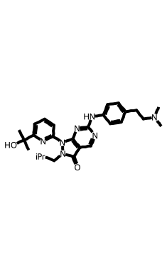 CC(C)Cn1c(=O)c2cnc(Nc3ccc(CCN(C)C)cc3)nc2n1-c1cccc(C(C)(C)O)n1